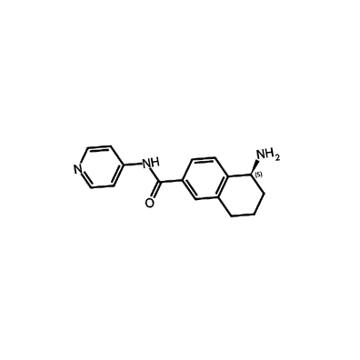 N[C@H]1CCCc2cc(C(=O)Nc3ccncc3)ccc21